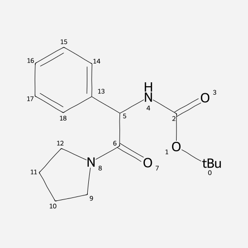 CC(C)(C)OC(=O)NC(C(=O)N1CCCC1)c1ccccc1